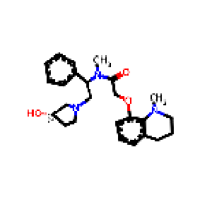 CN1CCCc2cccc(OCC(=O)N(C)C(CN3CC[C@H](O)C3)c3ccccc3)c21